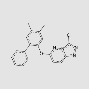 Cc1cc(Oc2ccc3nnc(Cl)n3n2)c(-c2ccccc2)cc1C